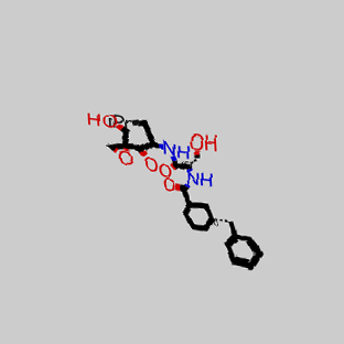 CC(C)CC(NC(=O)[C@H](CO)NC(=O)C1CCC[C@@H](Cc2ccccc2)C1)C(=O)C1(CO)CO1